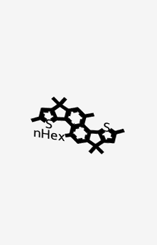 CCCCCCc1cc2c(c3c(C)cc4c(c13)-c1sc(C)cc1C4(C)C)-c1sc(C)cc1C2(C)C